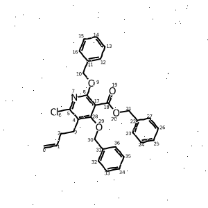 C=CCCc1c(Cl)nc(OCc2ccccc2)c(C(=O)OCc2ccccc2)c1OCc1ccccc1